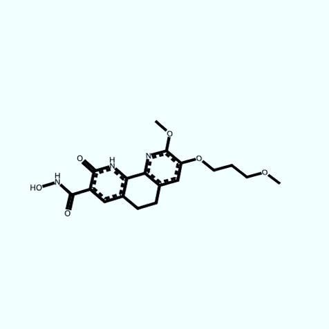 COCCCOc1cc2c(nc1OC)-c1[nH]c(=O)c(C(=O)NO)cc1CC2